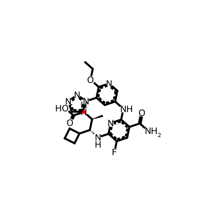 CCOc1ncc(Nc2nc(N[C@H](C3CCC3)[C@H](C)NC(=O)O)c(F)cc2C(N)=O)cc1-n1ccnn1